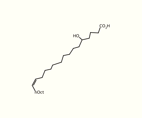 CCCCCCCC/C=C\CCCCCCCCCC(O)CCCC(=O)O